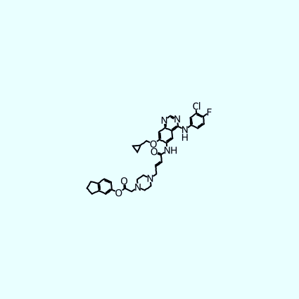 O=C(/C=C/CN1CCN(CC(=O)Oc2ccc3c(c2)CCC3)CC1)Nc1cc2c(Nc3ccc(F)c(Cl)c3)ncnc2cc1OCC1CC1